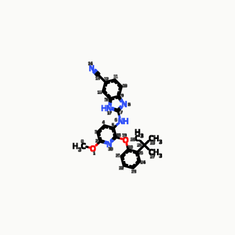 COc1ccc(Nc2nc3ccc(C#N)cc3[nH]2)c(Oc2ccccc2C(C)(C)C)n1